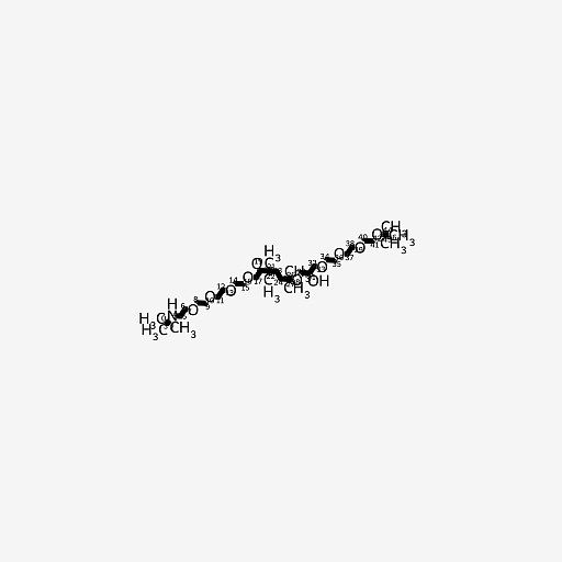 CC(C)(C)NCCOCCOCCOCCOCC(=O)C(C)(C)CCC(C)(C)OCC(O)COCCOCCOCCOC(C)(C)C